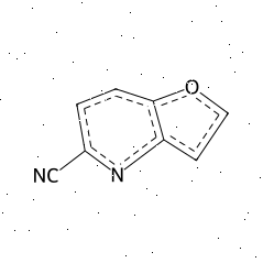 N#Cc1ccc2occc2n1